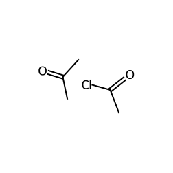 CC(=O)Cl.CC(C)=O